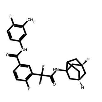 Cc1cc(NC(=O)c2ccc(F)c(C(F)(F)C(=O)NC34C[C@@H]5CC3C[C@@H](C5)C4)c2)ccc1F